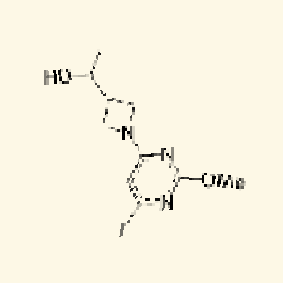 COc1nc(I)cc(N2CC(C(C)O)C2)n1